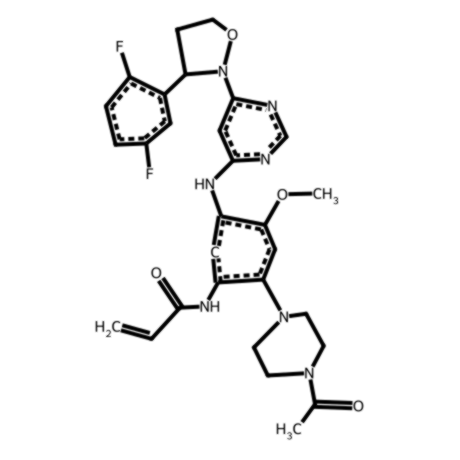 C=CC(=O)Nc1cc(Nc2cc(N3OCCC3c3cc(F)ccc3F)ncn2)c(OC)cc1N1CCN(C(C)=O)CC1